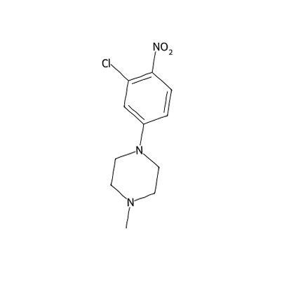 CN1CCN(c2ccc([N+](=O)[O-])c(Cl)c2)CC1